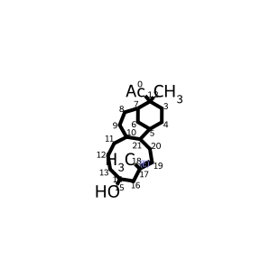 CC(=O)C1(C)CCC2CC1CCC1CCCC(O)C/C(C)=C/CC12